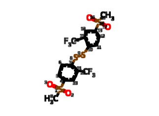 CS(=O)(=O)c1ccc(SSc2ccc(S(C)(=O)=O)cc2C(F)(F)F)c(C(F)(F)F)c1